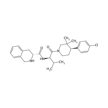 CC(C)[C@@H](NC(=O)[C@H]1Cc2ccccc2CN1)C(=O)N1CC[C@H](c2ccc(Cl)cc2)C(C)(C)C1